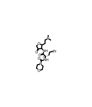 CC(C)CC[C@H](NC(=O)N1CCOCC1)C(=O)NC1C(=O)COC1CCN(C)C